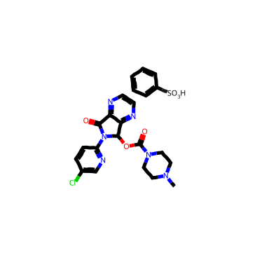 CN1CCN(C(=O)OC2c3nccnc3C(=O)N2c2ccc(Cl)cn2)CC1.O=S(=O)(O)c1ccccc1